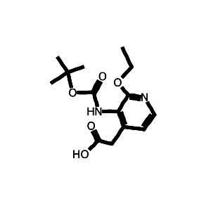 CCOc1nccc(CC(=O)O)c1NC(=O)OC(C)(C)C